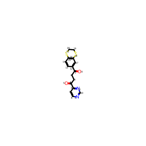 O=C(CCC(=O)c1ccncn1)c1ccc2c(c1)SCCS2